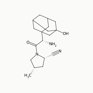 C[C@H]1C[C@@H](C#N)N(C(=O)[C@@H](N)C23CC4CC(CC(O)(C4)C2)C3)C1